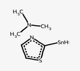 CN(C)C.[SnH][c]1nccs1